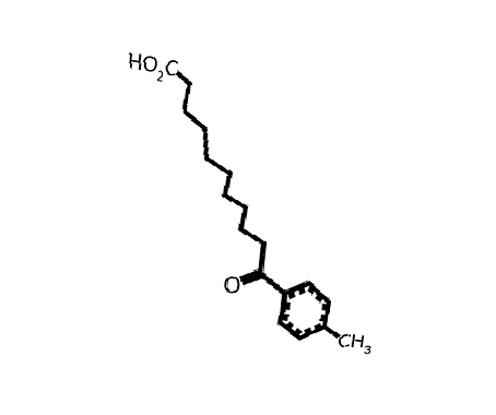 Cc1ccc(C(=O)CCCCCCCCCC(=O)O)cc1